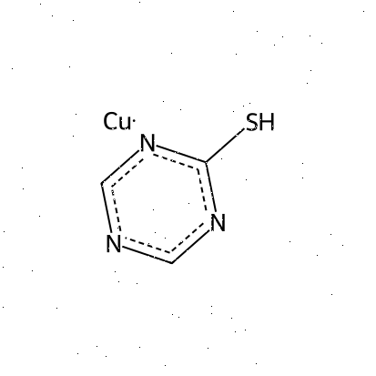 Sc1ncncn1.[Cu]